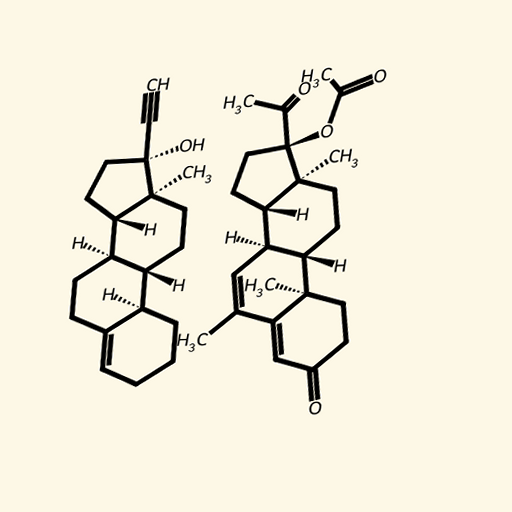 C#C[C@]1(O)CC[C@H]2[C@@H]3CCC4=CCCC[C@@H]4[C@H]3CC[C@@]21C.CC(=O)O[C@]1(C(C)=O)CC[C@H]2[C@@H]3C=C(C)C4=CC(=O)CC[C@]4(C)[C@H]3CC[C@@]21C